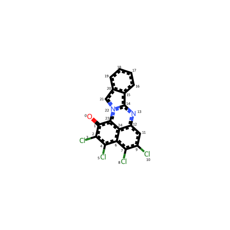 O=c1c(Cl)c(Cl)c2c(Cl)c(Cl)cc3nc4c5ccccc5cn4c1c32